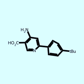 CC(C)(C)c1ccc(-c2cc(N)c(C(=O)O)cn2)cc1